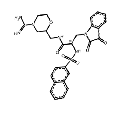 N=C(N)N1CCOC(CNC(=O)[C@@H](CN2C(=O)C(=O)c3ccccc32)NS(=O)(=O)c2ccc3ccccc3c2)C1